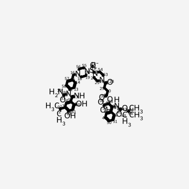 CC(C)c1cc(C(=N)N(C(N)=O)c2ccc(CN3CCN([S+]([O-])N4CCN(C(=O)CCC(=O)O[C@@H](C(=O)O)[C@@H](NC(=O)OC(C)(C)C)c5ccccc5)CC4)CC3)cc2)c(O)cc1O